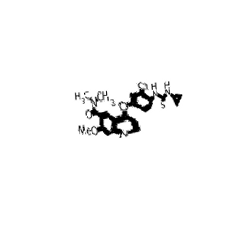 COc1cc2nccc(Oc3ccc(NC(=S)NC4CC4)c(Cl)c3)c2cc1C(=O)N(C)C